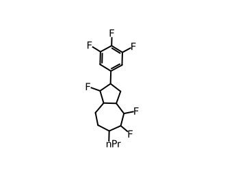 CCCC1CCC2C(F)C(c3cc(F)c(F)c(F)c3)CC2C(F)C1F